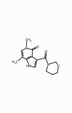 Cc1cn(C)c(=O)c2c(C(=O)N3CCCOC3)c[nH]c12